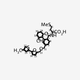 CSCC[C@H](NC(=O)c1ccc(COCc2ccc(-c3cc(C)cs3)o2)cc1-c1ccccc1C)C(=O)O